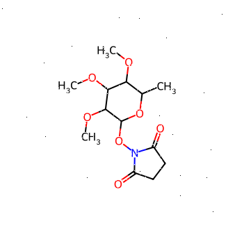 COC1C(C)OC(ON2C(=O)CCC2=O)C(OC)C1OC